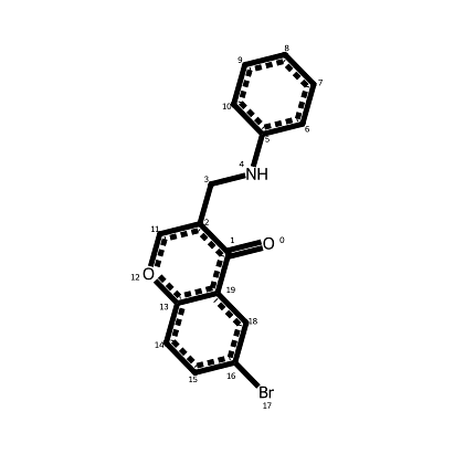 O=c1c(CNc2ccccc2)coc2ccc(Br)cc12